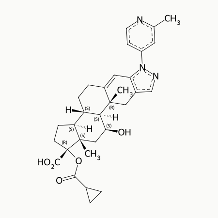 Cc1cc(-n2ncc3c2C=C2CC[C@@H]4[C@H]([C@@H](O)C[C@@]5(C)[C@H]4CC[C@]5(OC(=O)C4CC4)C(=O)O)[C@@]2(C)C3)ccn1